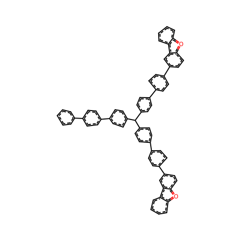 c1ccc(-c2ccc(-c3ccc(C(c4ccc(-c5ccc(-c6ccc7oc8ccccc8c7c6)cc5)cc4)c4ccc(-c5ccc(-c6ccc7oc8ccccc8c7c6)cc5)cc4)cc3)cc2)cc1